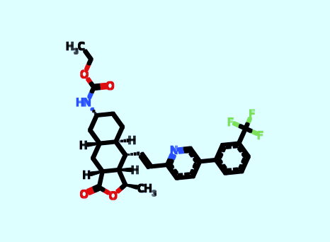 CCOC(=O)N[C@@H]1CC[C@@H]2[C@@H](C1)C[C@H]1C(=O)O[C@H](C)[C@H]1[C@H]2/C=C/c1ccc(-c2cccc(C(F)(F)F)c2)cn1